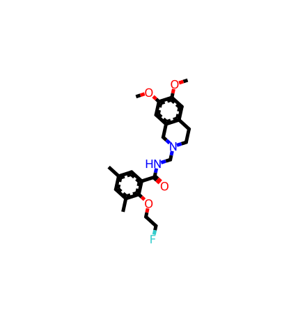 COc1cc2c(cc1OC)CN(CNC(=O)c1cc(C)cc(C)c1OCCF)CC2